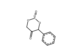 O=C1CO[PH](=O)OC1c1ccccc1